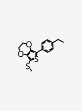 CCc1ccc(-c2sc(SC)c3c2OCCO3)cc1